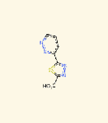 O=C(O)c1nnc(-c2cccnn2)s1